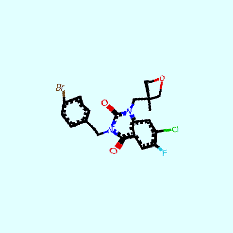 CC1(Cn2c(=O)n(Cc3ccc(Br)cc3)c(=O)c3cc(F)c(Cl)cc32)COC1